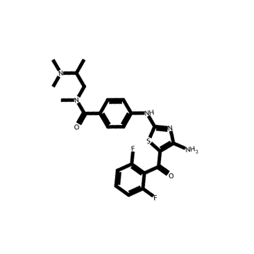 CC(CN(C)C(=O)c1ccc(Nc2nc(N)c(C(=O)c3c(F)cccc3F)s2)cc1)N(C)C